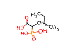 CC(C(=O)O)P(=O)(O)O.CCCC